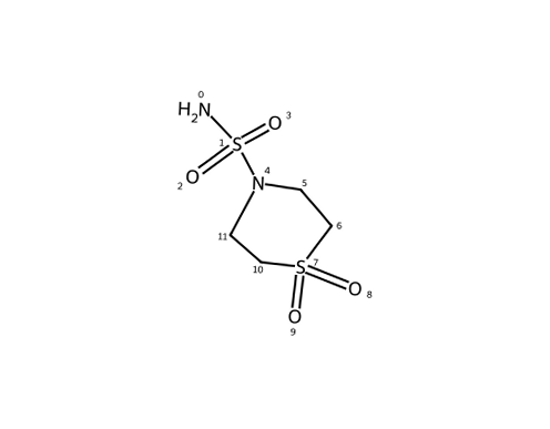 NS(=O)(=O)N1CCS(=O)(=O)CC1